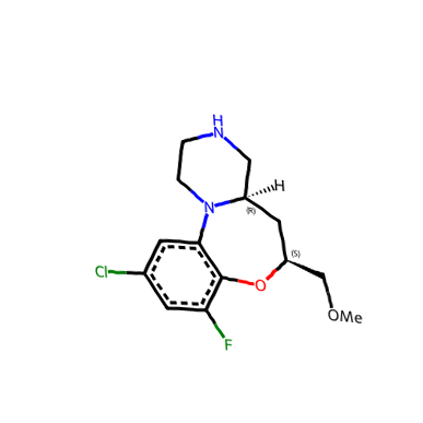 COC[C@@H]1C[C@@H]2CNCCN2c2cc(Cl)cc(F)c2O1